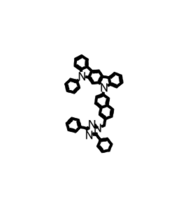 C1=CC(c2nc(-c3ccccc3)nn2Cc2ccc3cc(-n4c5ccccc5c5cc6c7ccccc7n(-c7ccccc7)c6cc54)ccc3c2)=CCC1